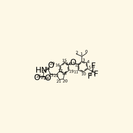 CC(C)c1cc(C(F)(F)F)ccc1Oc1ccc2c(c1)CC[C@H]2C1OC(=O)NC1=O